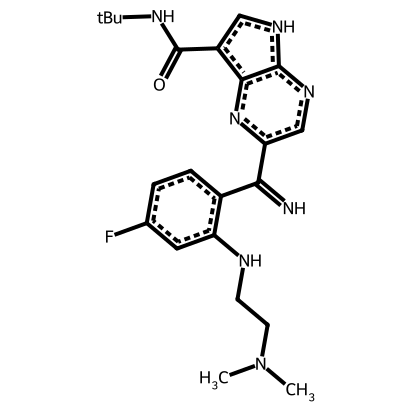 CN(C)CCNc1cc(F)ccc1C(=N)c1cnc2[nH]cc(C(=O)NC(C)(C)C)c2n1